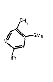 CSc1cc(C(C)C)ncc1C